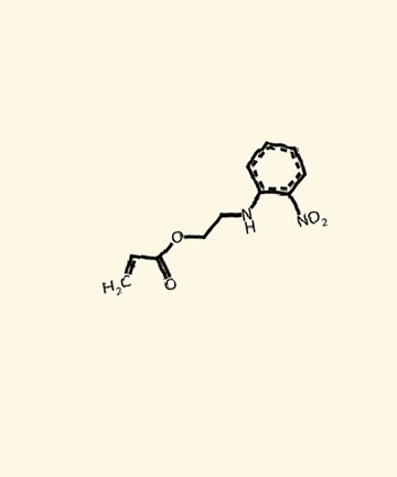 C=CC(=O)OCCNc1ccccc1[N+](=O)[O-]